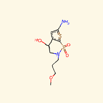 COCCCN1CC(O)c2cc(N)sc2S1(=O)=O